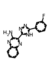 Nc1nc2ccccc2nc1-c1nnc(-c2cccc(F)c2)[nH]1